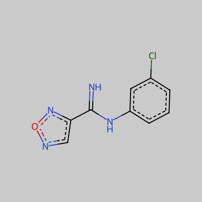 N=C(Nc1cccc(Cl)c1)c1cnon1